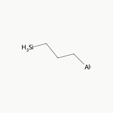 [Al][CH2]CC[SiH3]